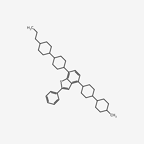 CCCC1CCC(C2CCC(c3ccc(C4CCC(C5CCC(C)CC5)CC4)c4cc(-c5ccccc5)sc34)CC2)CC1